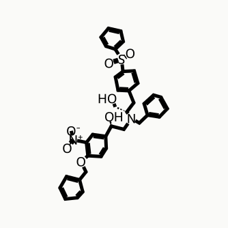 O=[N+]([O-])c1cc([C@H](O)CN(Cc2ccccc2)[C@H](CO)Cc2ccc(S(=O)(=O)c3ccccc3)cc2)ccc1OCc1ccccc1